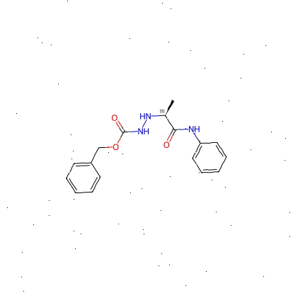 C[C@H](NNC(=O)OCc1ccccc1)C(=O)Nc1c[c]ccc1